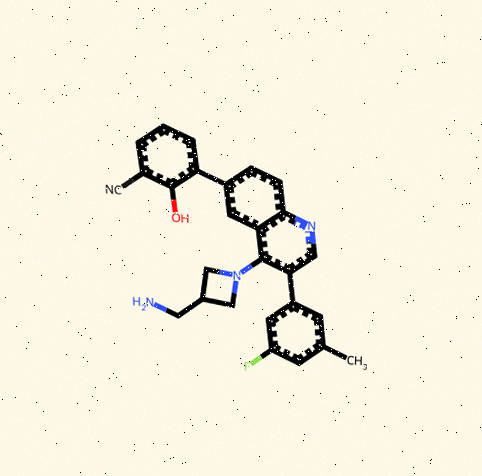 Cc1cc(F)cc(-c2cnc3ccc(-c4cccc(C#N)c4O)cc3c2N2CC(CN)C2)c1